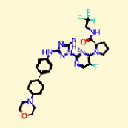 Nc1nc(Nc2ccc([C@H]3CC[C@H](N4CCOCC4)CC3)cc2)nn1-c1ncc(F)c(N2CCC[C@@H]2C(=O)NCC(F)(F)F)n1